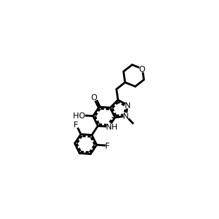 Cn1nc(CC2CCOCC2)c2c(=O)c(O)c(-c3c(F)cccc3F)[nH]c21